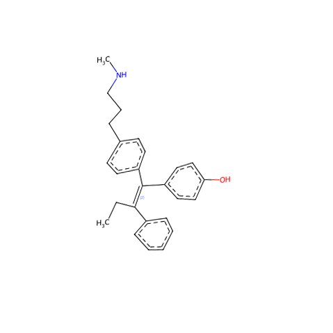 CC/C(=C(/c1ccc(O)cc1)c1ccc(CCCNC)cc1)c1ccccc1